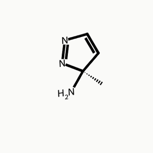 C[C@@]1(N)C=CN=N1